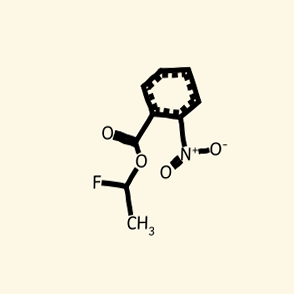 CC(F)OC(=O)c1ccccc1[N+](=O)[O-]